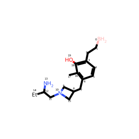 BCCc1ccc(CC2CN(CC(N)CC)C2)c(C)c1O